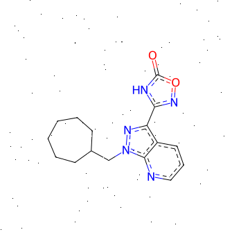 O=c1[nH]c(-c2nn(CC3CCCCCC3)c3ncccc23)no1